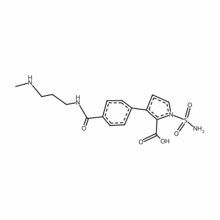 CNCCCNC(=O)c1ccc(-c2ccn(S(N)(=O)=O)c2C(=O)O)cc1